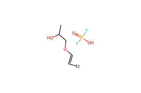 CCC=COCC(C)O.O=P(O)(F)F